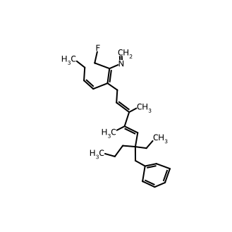 C=N/C(CF)=C(/C=C\CC)C/C=C(C)/C(C)=C/C(CC)(CCC)Cc1ccccc1